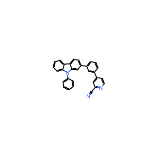 N#Cc1cc(-c2cccc(-c3ccc4c5ccccc5n(-c5ccccc5)c4c3)c2)ccn1